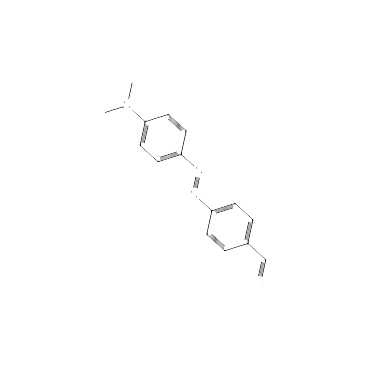 CN(C)c1ccc(N=Nc2ccc(C=O)cc2)cc1